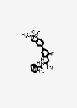 CN1Cc2cc(-c3ccc(C[C@@H](C#N)NC(=O)[C@H]4NC5CCC4CC5)c(F)c3)ccc2S1(=O)=O